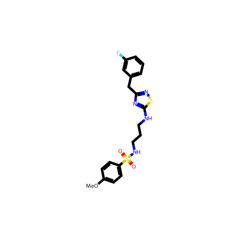 COc1ccc(S(=O)(=O)NCCCNc2nc(Cc3cccc(F)c3)ns2)cc1